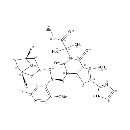 COc1ccc(F)cc1[C@H](Cn1c(=O)n(C(C)(C)C(=O)OC(C)(C)C)c(=O)c2c(C)c(-c3ncco3)sc21)O[C@H]1C[C@H]2CC[C@@H](C1)O2